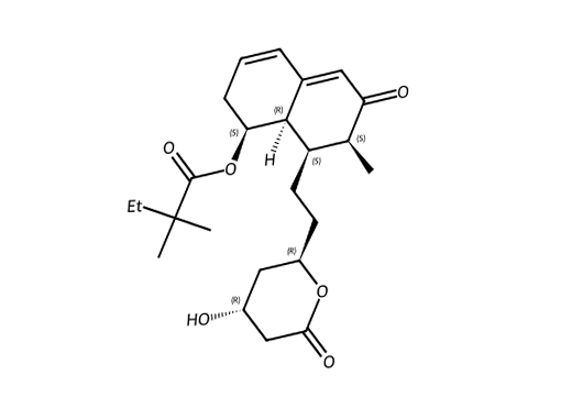 CCC(C)(C)C(=O)O[C@H]1CC=CC2=CC(=O)[C@@H](C)[C@@H](CC[C@@H]3C[C@@H](O)CC(=O)O3)[C@H]21